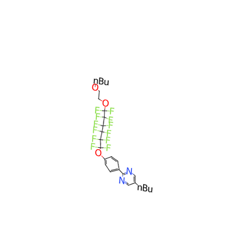 CCCCOCCOC(F)(F)C(F)(F)C(F)(F)C(F)(F)C(F)(F)C(F)(F)Oc1ccc(-c2ncc(CCCC)cn2)cc1